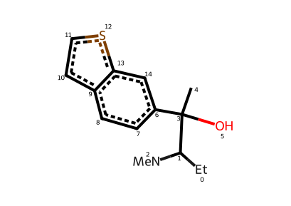 CCC(NC)C(C)(O)c1ccc2ccsc2c1